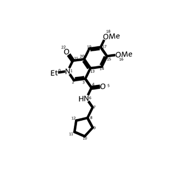 CCn1cc(C(=O)NCC2CCCC2)c2cc(OC)c(OC)cc2c1=O